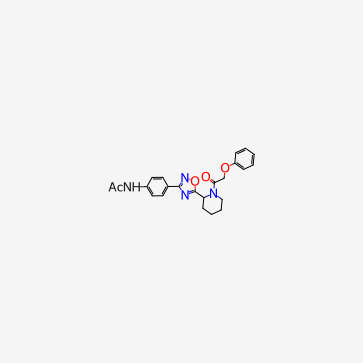 CC(=O)Nc1ccc(-c2noc(C3CCCCN3C(=O)COc3ccccc3)n2)cc1